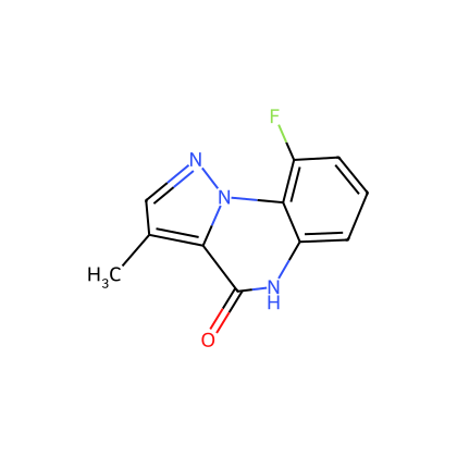 Cc1cnn2c1c(=O)[nH]c1cccc(F)c12